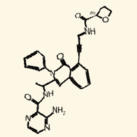 CC(NC(=O)c1nccnc1N)c1cc2cccc(C#CCNC(=O)[C@H]3CCCO3)c2c(=O)n1-c1ccccc1